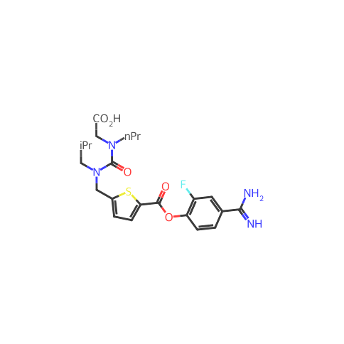 CCCN(CC(=O)O)C(=O)N(Cc1ccc(C(=O)Oc2ccc(C(=N)N)cc2F)s1)CC(C)C